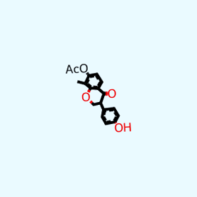 CC(=O)Oc1ccc2c(c1C)OCC(c1ccc(O)cc1)C2=O